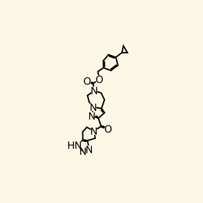 O=C(OCc1ccc(C2CC2)cc1)N1CCc2cc(C(=O)N3CCc4[nH]nnc4C3)nn2CC1